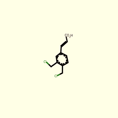 O=C(O)/C=C/c1ccc(CCl)c(CCl)c1